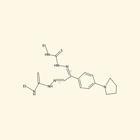 CCNC(=S)N/N=C(\C=N\NC(=S)NCC)c1ccc(N2CCCC2)cc1